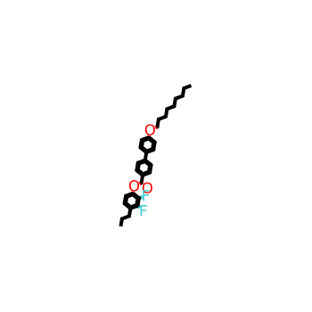 CCCCCCCCCOc1ccc(-c2ccc(C(=O)Oc3ccc(CCC)c(F)c3F)cc2)cc1